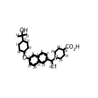 CCC(c1ccc2cc(OC3CCC(C(C)(C)O)CC3)ccc2c1)N1CCC(C(=O)O)CC1